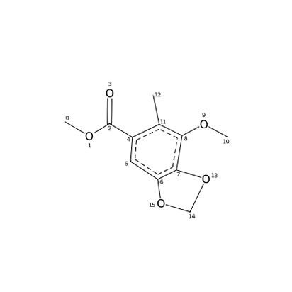 COC(=O)c1cc2c(c(OC)c1C)OCO2